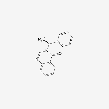 C[C@@H](c1ccccc1)n1cnc2ccccc2c1=O